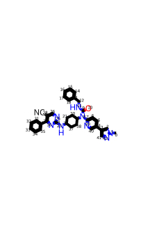 Cn1cc(-c2ccc(N(C(=O)NCc3ccccc3)C3CCC(Nc4ncc(C#N)c(-c5ccccc5)n4)CC3)nc2)cn1